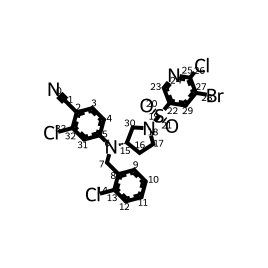 N#Cc1ccc(N(Cc2ccccc2Cl)[C@H]2CCN(S(=O)(=O)c3cnc(Cl)c(Br)c3)C2)cc1Cl